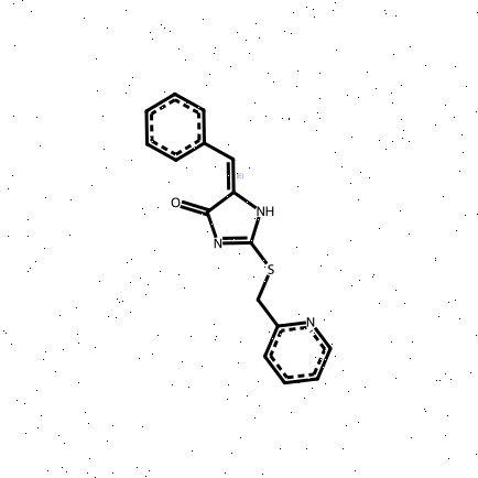 O=C1N=C(SCc2ccccn2)N/C1=C/c1ccccc1